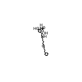 O=c1[nH]c2c(O)ccc([C@@H](O)CNCCCCCCOCCCCc3ccccc3)c2s1